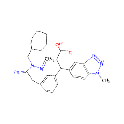 C=NN(CC1CCCCC1)C(=N)Cc1cccc(C(CC(=O)O)c2ccc3c(c2)nnn3C)c1